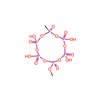 COP1(=O)OP(=O)(O)OP(=O)(O)OP(C)(=O)OP(=O)(O)OP(=O)(O)O1